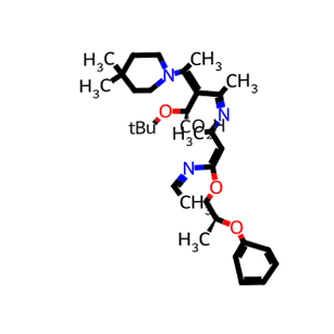 C/C=N\C(=C/C(C)/N=C(C)\C(=C(/C)N1CCC(C)(C)CC1)[C@H](OC(C)(C)C)C(=O)O)OC[C@H](C)Oc1ccccc1